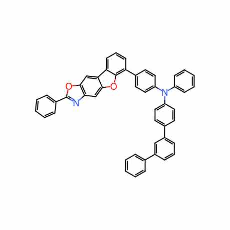 c1ccc(-c2cccc(-c3ccc(N(c4ccccc4)c4ccc(-c5cccc6c5oc5cc7nc(-c8ccccc8)oc7cc56)cc4)cc3)c2)cc1